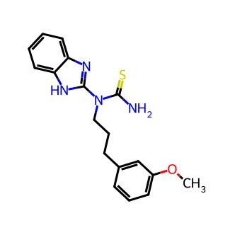 COc1cccc(CCCN(C(N)=S)c2nc3ccccc3[nH]2)c1